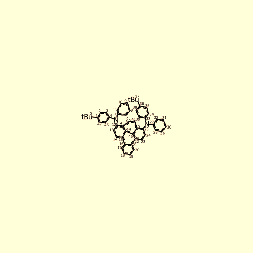 CC(C)(C)c1ccc(N(c2ccccc2)c2ccc3c4ccccc4c4ccc(N(c5ccccc5)c5ccc(C(C)(C)C)cc5)c5ccc2c3c54)cc1